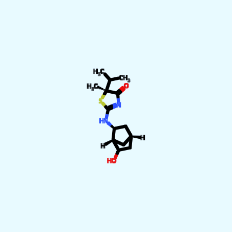 CC(C)[C@]1(C)SC(N[C@H]2C[C@@H]3CC(O)[C@H]2C3)=NC1=O